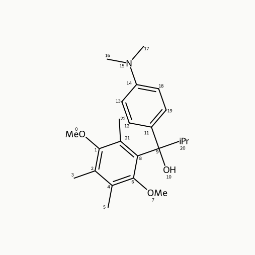 COc1c(C)c(C)c(OC)c(C(O)(c2ccc(N(C)C)cc2)C(C)C)c1C